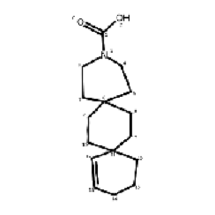 O=C(O)N1CCC2(CC1)CCC1(C=CCCC1)CC2